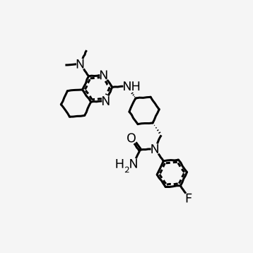 CN(C)c1nc(N[C@H]2CC[C@@H](CN(C(N)=O)c3ccc(F)cc3)CC2)nc2c1CCCC2